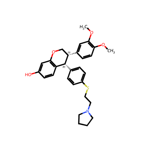 COc1ccc([C@H]2COc3cc(O)ccc3[C@H]2c2ccc(SCCN3CCCC3)cc2)cc1OC